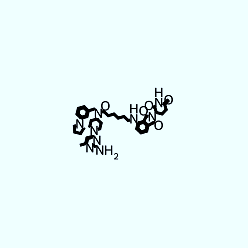 Cc1cc(N2CCC(N(Cc3cccc(N4CCCC4)c3)C(=O)CCCCCNc3cccc4c3C(=O)N(C3CCC(=O)NC3=O)C4=O)CC2)nc(N)n1